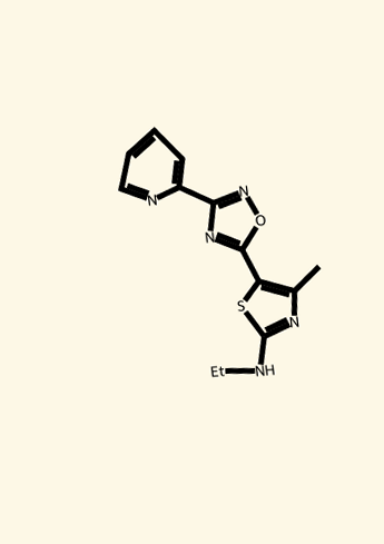 CCNc1nc(C)c(-c2nc(-c3ccccn3)no2)s1